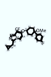 CO[C@]1(c2ccc(F)cc2)CC[C@H](Oc2ccn3c(CC4CC4)nnc3c2C(F)(F)F)CC1